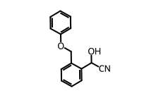 N#CC(O)c1ccccc1COc1ccccc1